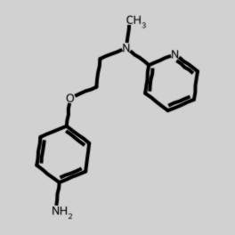 CN(CCOc1ccc(N)cc1)c1ccccn1